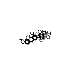 CCOc1ccc(Cc2cc([C@]34OC[C@](COC)(O3)[C@@H](O)[C@H](O)[C@H]4O)ccc2Cl)cc1